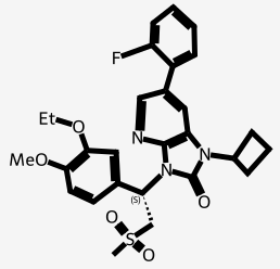 CCOc1cc([C@@H](CS(C)(=O)=O)n2c(=O)n(C3CCC3)c3cc(-c4ccccc4F)cnc32)ccc1OC